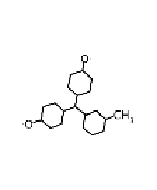 CC1CCCC(C(C2CCC([O])CC2)C2CCC([O])CC2)C1